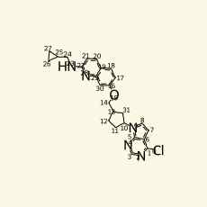 Clc1ncnc2c1ccn2C1CCC(COc2ccc3ccc(NCC4CC4)nc3c2)C1